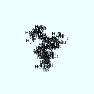 CC[C@H](C)[C@H](NC(=O)[C@H](CCC(N)=O)NC(=O)CNC(=O)[C@H](CC(N)=O)NC(=O)[C@@H]1CCCN1C(=O)[C@H](CCC(N)=O)NC(=O)[C@@H](NC(=O)[C@@H](NC(=O)CN)[C@@H](C)O)[C@@H](C)O)C(=O)N1CCC[C@H]1C(=O)N[C@@H](CCC(N)=O)C(=O)N[C@@H](C)C(=O)N[C@H](C(=O)N[C@@H](Cc1c[nH]cn1)C(=O)N[C@@H](CO)C(=O)N[C@H](C(=O)N[C@@H](CO)C(=O)N[C@@H](C)C(=O)N[C@H](C(=O)N[C@@H](CC(C)C)C(=O)O)C(C)C)C(C)C)[C@@H](C)O